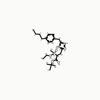 CCCCc1ccc(Cc2noc(CC(C(=O)OC(C)(C)C)P(C)(=O)OCC)n2)cc1